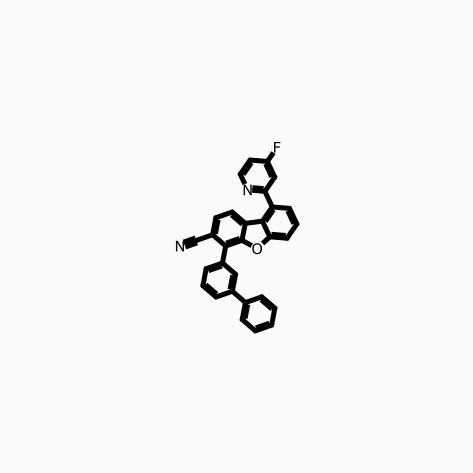 N#Cc1ccc2c(oc3cccc(-c4cc(F)ccn4)c32)c1-c1cccc(-c2ccccc2)c1